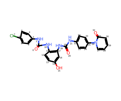 O=C(Nc1ccc(Cl)cc1)Nc1ccc(O)cc1NC(=O)Nc1ccc(-n2ccccc2=O)cc1